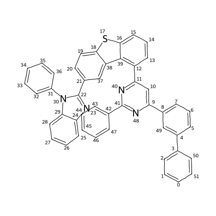 c1ccc(-c2cccc(-c3cc(-c4cccc5sc6ccc(-c7nc8ccccc8n7-c7ccccc7)cc6c45)nc(-c4ccccc4)n3)c2)cc1